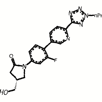 CCCn1nnc(-c2ccc(-c3ccc(N4C[C@H](CO)CC4=O)cc3F)cn2)n1